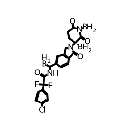 BC(NC(=O)C(F)(F)c1ccc(Cl)cc1)c1ccc2c(c1)CN([C@@]1(B)CCC(=O)N(B)C1=O)C2=O